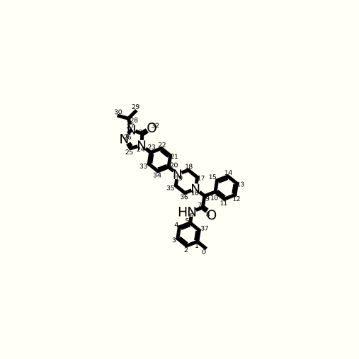 Cc1cccc(NC(=O)C(c2ccccc2)N2CCN(c3ccc(-n4cnn(C(C)C)c4=O)cc3)CC2)c1